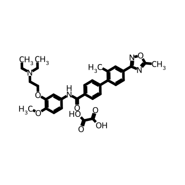 CCN(CC)CCOc1cc(NC(=O)c2ccc(-c3ccc(-c4noc(C)n4)cc3C)cc2)ccc1OC.O=C(O)C(=O)O